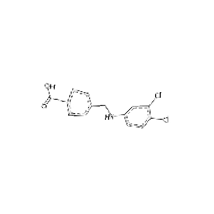 O=C(O)c1ccc(CNc2ccc(Cl)c(Cl)c2)cc1